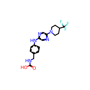 O=C(O)NCc1ccc(Nc2cnc(N3CCC(C(F)(F)F)CC3)cn2)cc1